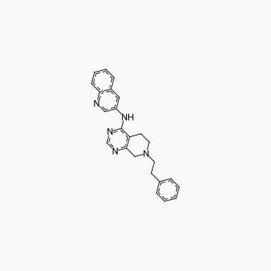 c1ccc(CCN2CCc3c(ncnc3Nc3cnc4ccccc4c3)C2)cc1